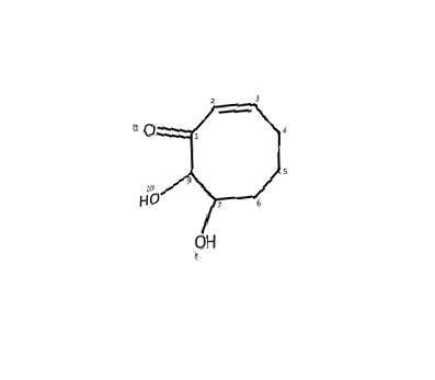 O=C1/C=C\C[CH]CC(O)C1O